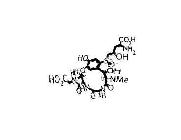 CC[C@@]1(C)Oc2cc(c([S+]([O-])C[C@@H](O)C[C@H](N)C(=O)O)cc2O)[C@@H](O)[C@H](NC)C(=O)N[C@@H](C)C(=O)N[C@@H]1C(=O)NCC(=O)O